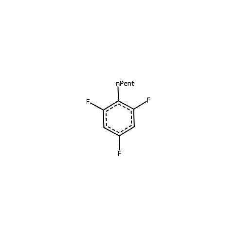 CCCCCc1c(F)cc(F)cc1F